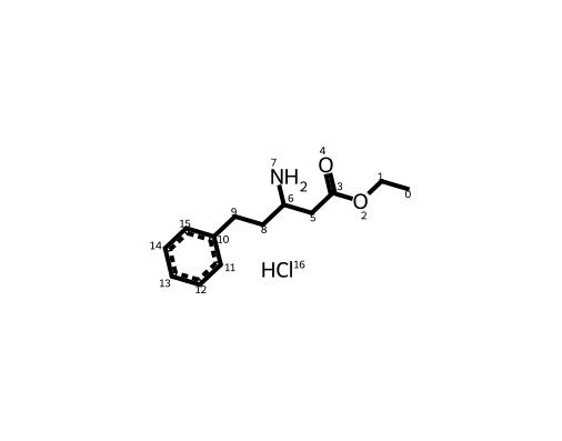 CCOC(=O)CC(N)CCc1ccccc1.Cl